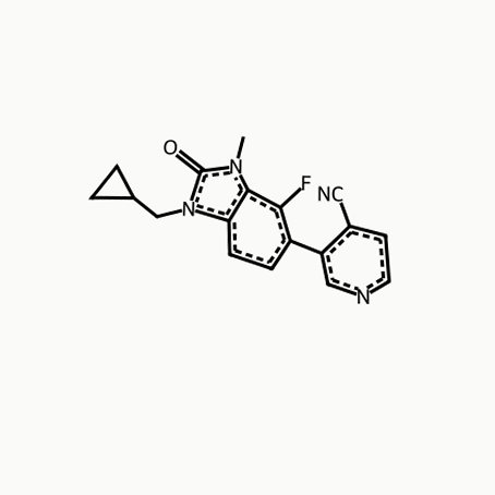 Cn1c(=O)n(CC2CC2)c2ccc(-c3cnccc3C#N)c(F)c21